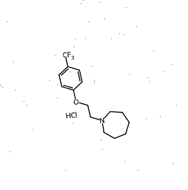 Cl.FC(F)(F)c1ccc(OCCN2CCCCCC2)cc1